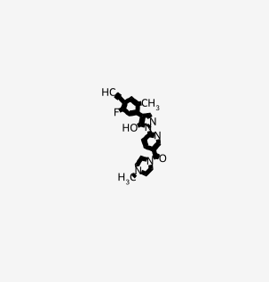 C#Cc1cc(C)c(-c2cnn(-c3ccc(C(=O)N4CCN(C)CC4)cn3)c2O)cc1F